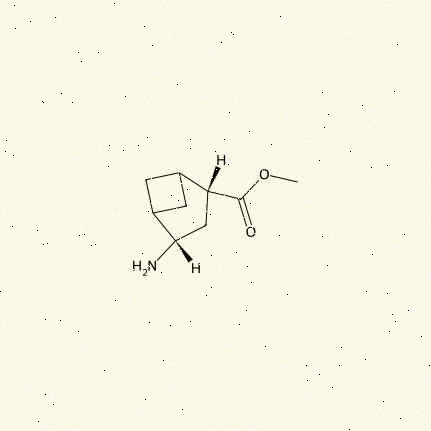 COC(=O)[C@@H]1C[C@H](N)C2CC1C2